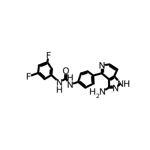 Nc1n[nH]c2ccnc(-c3ccc(NC(=O)Nc4cc(F)cc(F)c4)cc3)c12